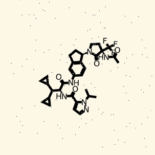 CC(=O)N[C@]1(C(F)(F)F)CCN([C@@H]2CCc3cc(NC(=O)[C@@H](NC(=O)c4ccnn4C(C)C)C(C4CC4)C4CC4)ccc32)C1=O